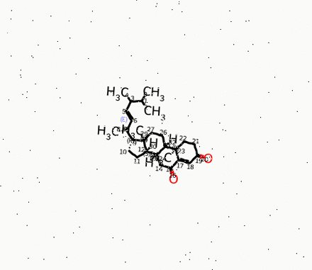 CC(C)C(C)/C=C/[C@@H](C)[C@H]1CC[C@H]2[C@@H]3CC(=O)C4=CC(=O)CC[C@]4(C)[C@H]3CC[C@]12C